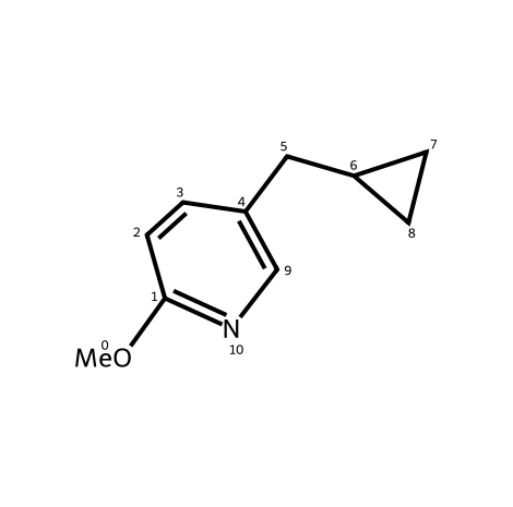 COc1ccc(CC2CC2)cn1